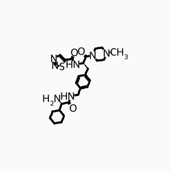 CN1CCN(C(=O)[C@@H](Cc2ccc(CNC(=O)[C@@H](N)C3CCCCC3)cc2)NC(=O)c2cnns2)CC1